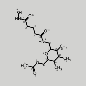 CC(=O)OCC1OC(CNC(=O)CCCC(=O)NS)C(C)C(C)C1C